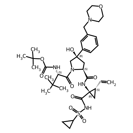 C=C[C@@H]1C[C@]1(NC(=O)[C@@H]1C[C@@](O)(c2cccc(CN3CCOCC3)c2)CN1C(=O)[C@@H](NC(=O)OC(C)(C)C)C(C)(C)C)C(=O)NS(=O)(=O)C1CC1